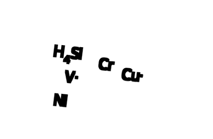 [Cr].[Cu].[Ni].[SiH4].[V]